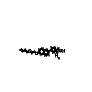 C=CCCOCCO[C@H]1CCc2cc([C@H]3CC[C@](N)(CO)C3)ccc2C1